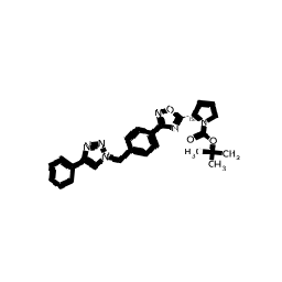 CC(C)(C)OC(=O)N1CCC[C@H]1c1nc(-c2ccc(Cn3cc(-c4ccccc4)nn3)cc2)no1